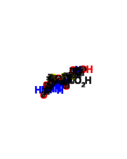 O=C1CN(NC(=O)NC(C(=O)N[C@H]2C(=O)N3C(C(=O)O)=C(CSc4ccc(O)n[n+]4[O-])CSC23)c2cccs2)C(=O)N1